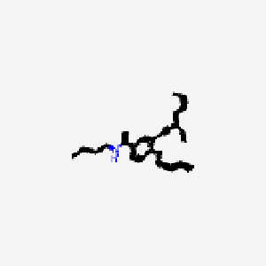 C=C/C=C\Cc1ccc(C(=C)NCCCC)cc1C#C/C(C=C)=C/C=C\C